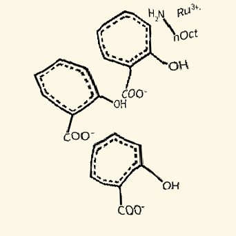 CCCCCCCCN.O=C([O-])c1ccccc1O.O=C([O-])c1ccccc1O.O=C([O-])c1ccccc1O.[Ru+3]